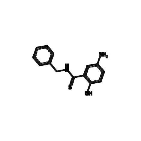 Nc1ccc(O)c(C(=S)NCc2ccccc2)c1